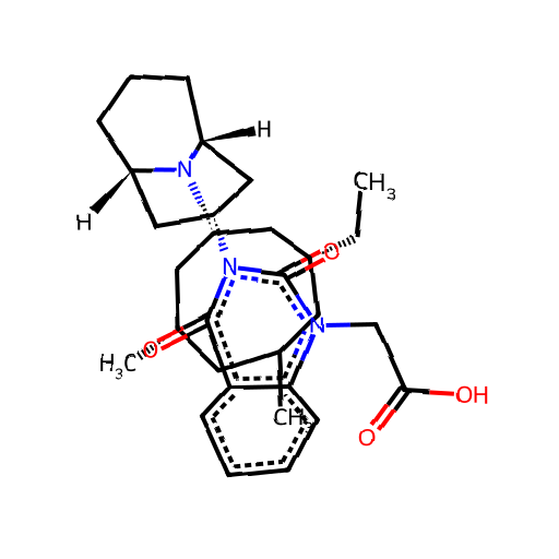 CC[C@@H]1CC(C)C[C@H](C)C[C@H](N2[C@@H]3CCC[C@H]2C[C@@H](n2c(=O)c4ccccc4n(CC(=O)O)c2=O)C3)C1